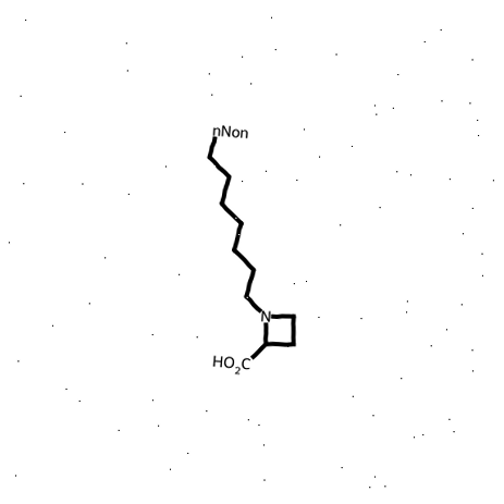 CCCCCCCCCCCCCCCCN1CCC1C(=O)O